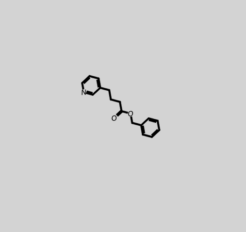 O=C(CCCc1cccnc1)OCc1ccccc1